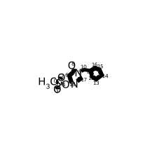 CS(=O)(=O)Oc1cc(=O)n(Cc2ccccc2)cn1